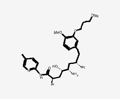 COCCCOc1cc(C[C@@H](C[C@H](N)[C@@H](O)C[C@H](C(=O)Nc2ccc(C)cn2)C(C)C)C(C)C)ccc1OC